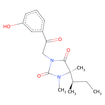 CC[C@@H](C)[C@]1(C)C(=O)N(CC(=O)c2cccc(O)c2)C(=O)N1C